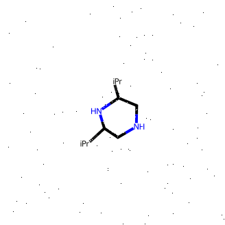 CC(C)C1CNCC(C(C)C)N1